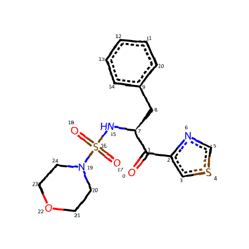 O=C(c1cs[c]n1)[C@H](Cc1ccccc1)NS(=O)(=O)N1CCOCC1